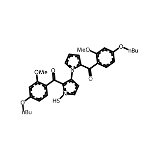 CCCCOc1ccc(C(=O)c2c(-n3cccc3C(=O)c3ccc(OCCCC)cc3OC)ccn2S)c(OC)c1